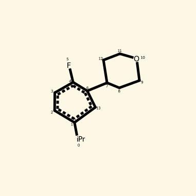 CC(C)c1ccc(F)c(C2CCOCC2)c1